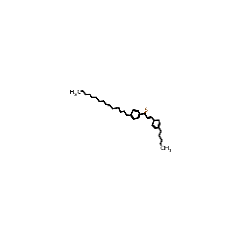 CCCCCCCCCCCCCCCc1ccc(C(=S)C=Cc2ccc(CCCCC)cc2)cc1